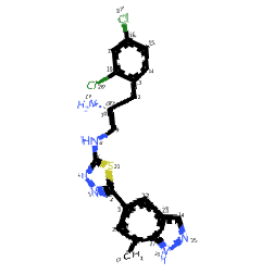 Cc1cc(-c2nnc(NC[C@H](N)Cc3ccc(Cl)cc3Cl)s2)cc2cn[nH]c12